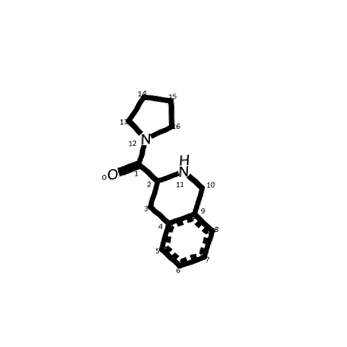 O=C(C1Cc2ccccc2CN1)N1CCCC1